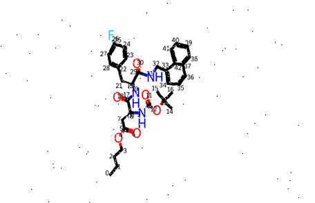 CCCCOC(=O)C[C@H](NC(=O)OC(C)(C)C)C(=O)N[C@@H](Cc1ccc(F)cc1)C(=O)NCc1cccc2ccccc12